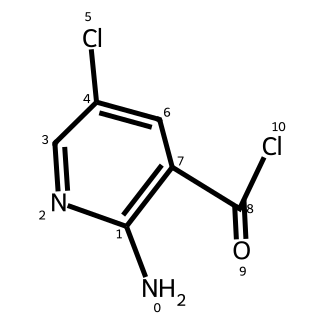 Nc1ncc(Cl)cc1C(=O)Cl